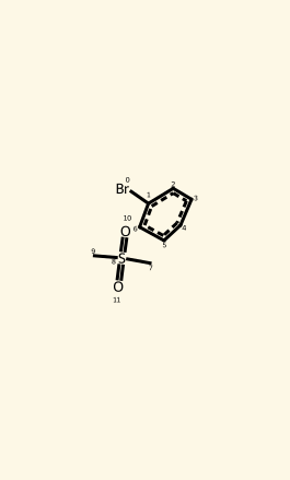 Brc1ccccc1.CS(C)(=O)=O